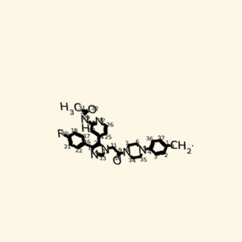 [CH2]c1ccc(N2CCN(C(=O)Cn3cnc(-c4ccc(F)cc4)c3-c3ccnc(NC(C)=O)c3)CC2)cc1